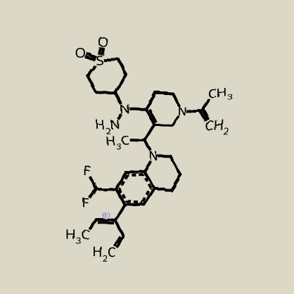 C=C/C(=C\C)c1cc2c(cc1C(F)F)N(C(C)C1=C(N(N)C3CCS(=O)(=O)CC3)CCN(C(=C)C)C1)CCC2